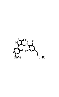 COc1ccc(-c2nsc(C(F)(F)F)c2COc2c(F)cc(CCC=O)cc2F)c(F)c1